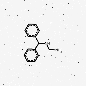 N[CH]NC(c1ccccc1)c1ccccc1